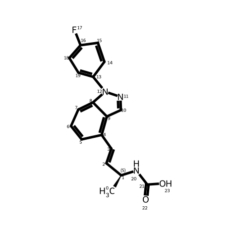 C[C@@H](C=Cc1cccc2c1cnn2-c1ccc(F)cc1)NC(=O)O